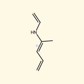 C=C/C=C(\C)NC=C